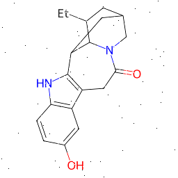 CCC1CC2CC3c4[nH]c5ccc(O)cc5c4CC(=O)N(C2)C13